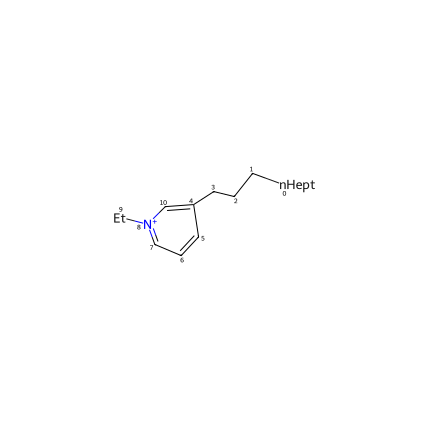 CCCCCCCCCCc1ccc[n+](CC)c1